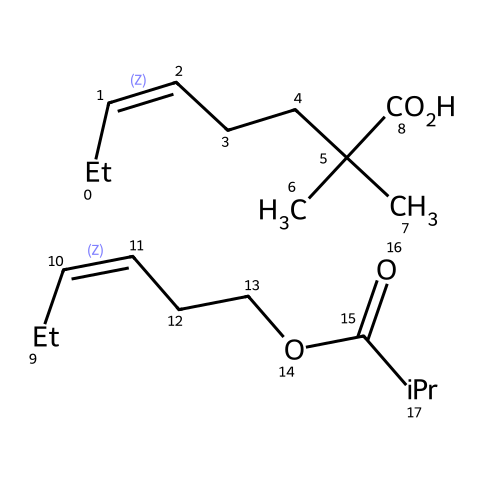 CC/C=C\CCC(C)(C)C(=O)O.CC/C=C\CCOC(=O)C(C)C